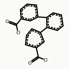 O=C(Cl)c1cccc(-c2ccccc2-c2cccc(C(=O)Cl)c2)c1